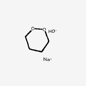 C1CCOOC1.[Na+].[OH-]